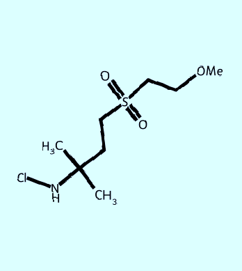 COCCS(=O)(=O)CCC(C)(C)NCl